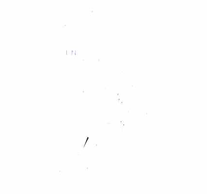 O=c1nc(OC[C@@H]2COCCO2)cc2n1CCc1cc(NC3CCCCC3)ccc1-2